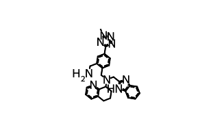 Cn1nnc(-c2ccc(CN(Cc3nc4ccccc4[nH]3)C3CCCc4cccnc43)c(CN)c2)n1